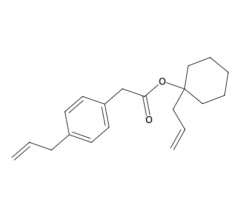 C=CCc1ccc(CC(=O)OC2(CC=C)CCCCC2)cc1